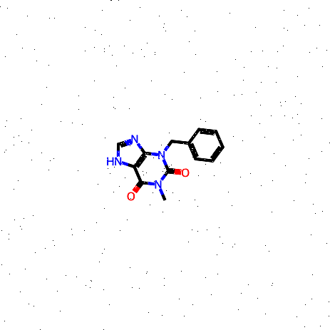 Cn1c(=O)c2[nH]cnc2n(Cc2ccccc2)c1=O